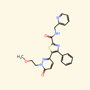 COCCn1nc(-c2sc(C(=O)NCc3ccccn3)nc2-c2ccccc2)ccc1=O